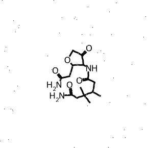 CC(CC(=O)NC1C(=O)COC1CC(N)=O)C(C)(C)CC(N)=O